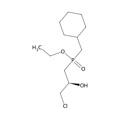 CCOP(=O)(CC1CCCCC1)C[C@@H](O)CCl